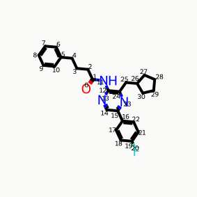 O=C(CCCc1ccccc1)Nc1ncc(-c2ccc(F)cc2)nc1CC1CCCC1